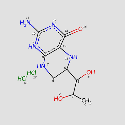 CC(O)C(O)C1CNc2[nH]c(N)nc(=O)c2N1.Cl.Cl